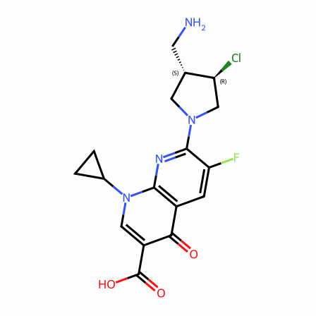 NC[C@H]1CN(c2nc3c(cc2F)c(=O)c(C(=O)O)cn3C2CC2)C[C@@H]1Cl